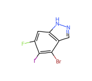 Fc1cc2[nH]ncc2c(Br)c1I